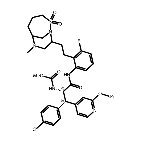 COC(=O)N[C@H](C(=O)Nc1cccc(F)c1CCC1CN(C)C2CCCS(=O)(=O)N1C2)[C@@H](c1ccc(Cl)cc1)c1ccnc(OC(C)C)c1